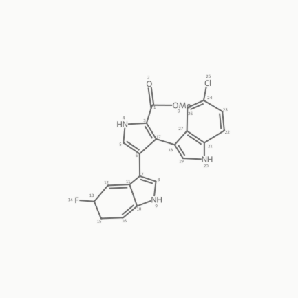 COC(=O)c1[nH]cc(-c2c[nH]c3c2=CC(F)CC=3)c1-c1c[nH]c2ccc(Cl)cc12